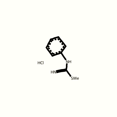 CSC(=N)Nc1ccccc1.Cl